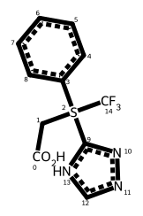 O=C(O)CS(c1ccccc1)(c1nnc[nH]1)C(F)(F)F